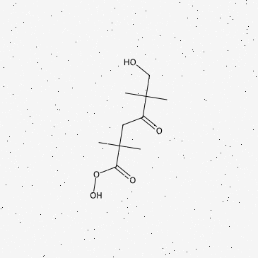 CC(C)(CO)C(=O)CC(C)(C)C(=O)OO